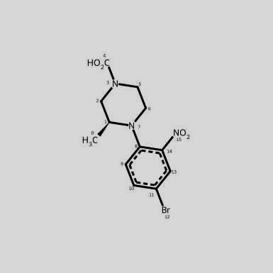 C[C@H]1CN(C(=O)O)CCN1c1ccc(Br)cc1[N+](=O)[O-]